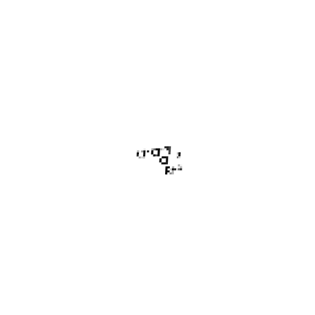 P.[Cl-].[Cl-].[Cl-].[Rh+3]